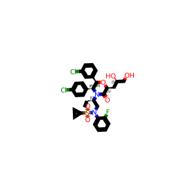 CC[C@@H](CN(c1ccccc1F)S(=O)(=O)C1CC1)N1C(=O)[C@H](C[C@H](O)CO)O[C@H](c2cccc(Cl)c2)[C@H]1c1ccc(Cl)cc1